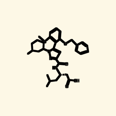 COc1cccc(OCc2ccccc2)c1-c1cc(C(=O)N[C@H](CC(=O)O)CC(C)C)nn1C1CCCC(C)C1